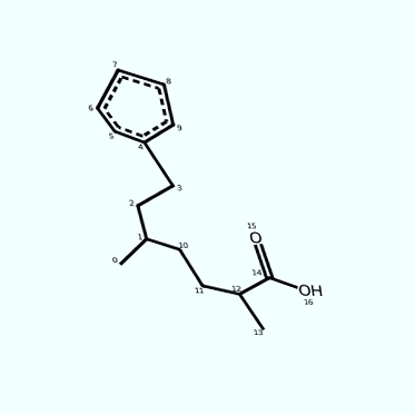 CC(CCc1ccccc1)CCC(C)C(=O)O